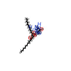 CCCCCCCCCCCC(=O)CC(CC(=O)CCCCCCCCCCC)OCn1cnc2c(=O)[nH]c(N)nc21